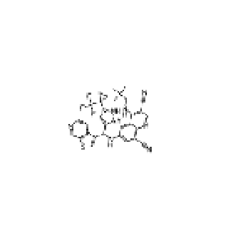 CC(C)(C)CNc1c(C#N)cnc2c(C#N)cc(N[C@H](C3=CN(C4(C(F)(F)F)CC4)NN3)c3csc4cnccc34)cc12